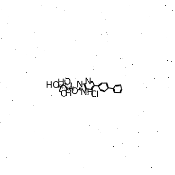 O[C@@H]1CO[C@H]2[C@@H]1OC[C@H]2Oc1nc2ncc(-c3ccc(-c4ccccc4)cc3)c(Cl)c2[nH]1